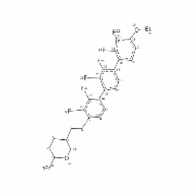 CCCC1CCC(CCc2ccc(-c3ccc(-c4ccc(OCC)c(F)c4F)c(F)c3F)c(F)c2F)CO1